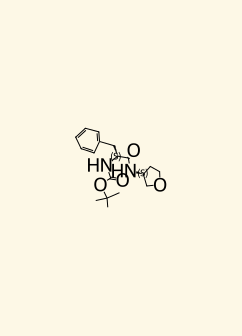 CC(C)(C)OC(=O)N[C@@H](Cc1ccccc1)C(=O)N[C@H]1CCOC1